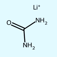 NC(N)=O.[Li+]